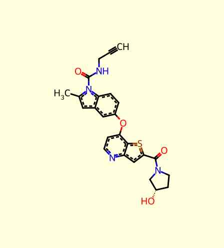 C#CCNC(=O)n1c(C)cc2cc(Oc3ccnc4cc(C(=O)N5CC[C@H](O)C5)sc34)ccc21